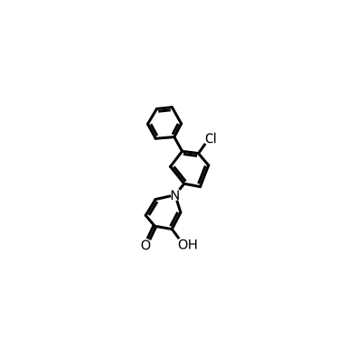 O=c1ccn(-c2ccc(Cl)c(-c3ccccc3)c2)cc1O